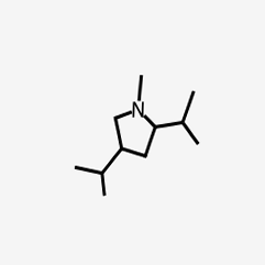 CC(C)C1CC(C(C)C)N(C)C1